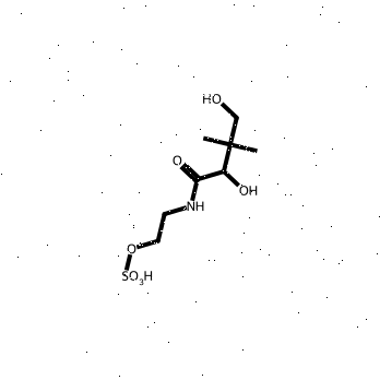 CC(C)(CO)C(O)C(=O)NCCOS(=O)(=O)O